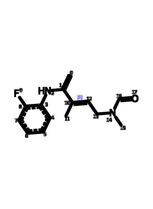 C=C(Nc1ccccc1F)/C(C)=C/CN(C)C=O